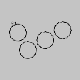 C.C1CCCCCCCCCCC1.C1CCCCCCCCCCC1.C1CCCCCCCCCCC1.C1CCCCCCCCCCC1